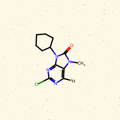 [2H]c1nc(Cl)nc2c1n(C)c(=O)n2C1CCCCC1